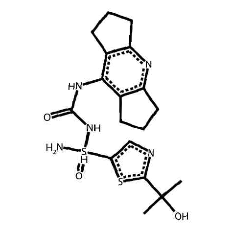 CC(C)(O)c1ncc([SH](N)(=O)NC(=O)Nc2c3c(nc4c2CCC4)CCC3)s1